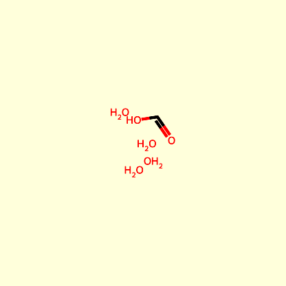 O.O.O.O.O=CO